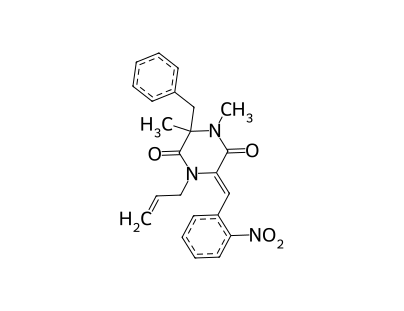 C=CCN1C(=O)C(C)(Cc2ccccc2)N(C)C(=O)C1=Cc1ccccc1[N+](=O)[O-]